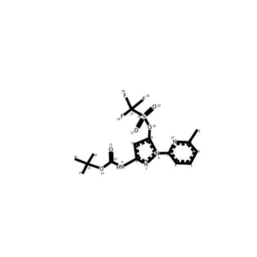 Cc1cccc(-n2nc(NC(=O)OC(C)(C)C)cc2OS(=O)(=O)C(F)(F)F)n1